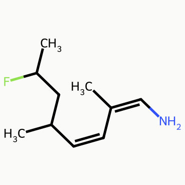 CC(/C=C\C(C)CC(C)F)=C/N